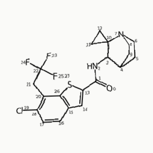 O=C(NC1C2CCN(CC2)C12CC2)c1cc2ccc(Cl)c(CC(F)(F)F)c2s1